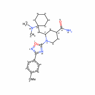 COc1ccc(-c2noc(N3CCC(C(N)=O)CC3CC3(N(C)C)CCCCC3)n2)cc1